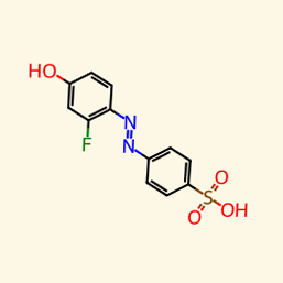 O=S(=O)(O)c1ccc(N=Nc2ccc(O)cc2F)cc1